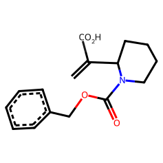 C=C(C(=O)O)C1CCCCN1C(=O)OCc1ccccc1